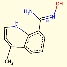 CC1=C=CNc2c1cccc2/C(N)=N/O